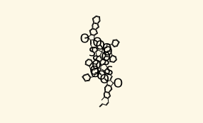 C=C/C=C\c1cc2cc3c(cc2cc1C)C(=O)/C(=C\c1cc2c(s1)-c1sc4c5c(sc4c1C2(C(=O)OCc1ccccc1)C(=O)OCc1ccccc1)-c1sc(C=C2C(=O)c4cc6cc7ccccc7cc6cc4C2=O)cc1C5(C(=O)OCc1ccccc1)C(=O)OCc1ccccc1)C3=O